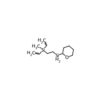 C=C[Si](C)(C=C)CC[SiH2]C1CCCCO1